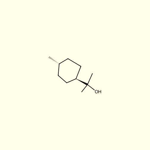 CC(C)(O)[C@H]1CC[C@H](C)CC1